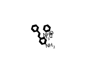 COc1ccccc1.Nc1ccc(C=Cc2ccccc2)c(N)c1